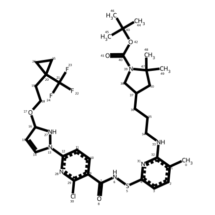 Cc1ccc(SNC(=O)c2ccc(N3C=CC(OCCC4(C(F)(F)F)CC4)N3)nc2Cl)nc1NCCCC1CN(C(=O)OC(C)(C)C)C(C)(C)C1